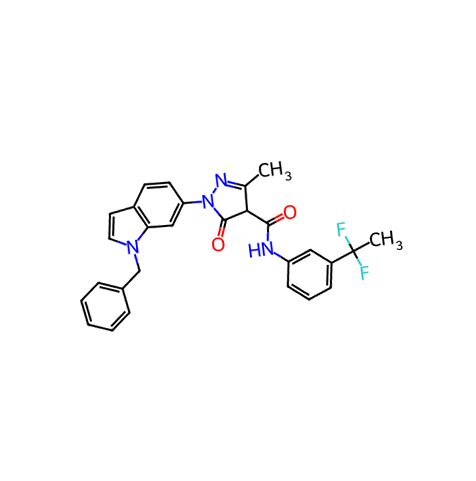 CC1=NN(c2ccc3ccn(Cc4ccccc4)c3c2)C(=O)C1C(=O)Nc1cccc(C(C)(F)F)c1